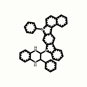 c1ccc(C2Nc3ccccc3NC2n2c3ccccc3c3cc4c5c6ccccc6ccc5n(-c5ccccc5)c4cc32)cc1